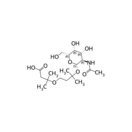 CC(=O)N[C@H]1[C@H](OC(C)(C)CCOC(C)(C)CC(=O)O)O[C@H](CO)[C@H](O)[C@@H]1O